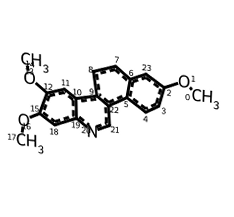 COc1ccc2c(ccc3c4cc(OC)c(OC)cc4ncc23)c1